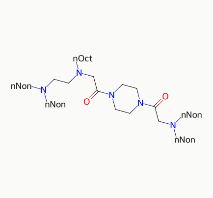 CCCCCCCCCN(CCCCCCCCC)CCN(CCCCCCCC)CC(=O)N1CCN(C(=O)CN(CCCCCCCCC)CCCCCCCCC)CC1